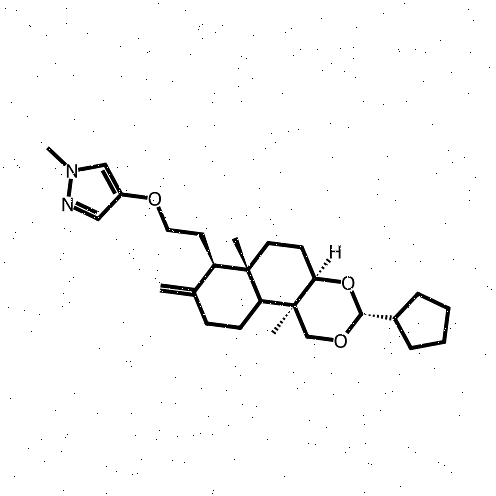 C=C1CCC2[C@]3(C)CO[C@@H](C4CCCC4)O[C@@H]3CC[C@@]2(C)[C@@H]1CCOc1cnn(C)c1